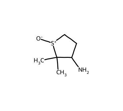 CC1(C)C(N)CC[S+]1[O-]